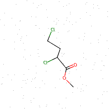 COC(=O)C(Cl)CCCl